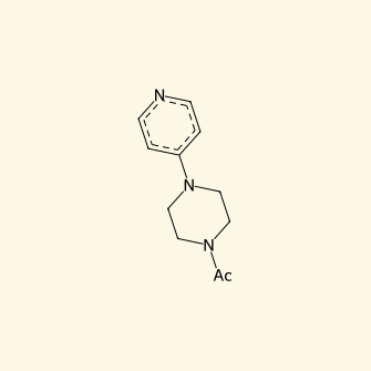 CC(=O)N1CCN(c2ccncc2)CC1